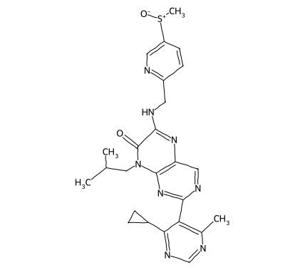 Cc1ncnc(C2CC2)c1-c1ncc2nc(NCc3ccc([S+](C)[O-])cn3)c(=O)n(CC(C)C)c2n1